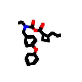 CCCN(Cc1ccc(Oc2ccccc2)cc1)C(=O)OC(=O)C1CCC1CC#N